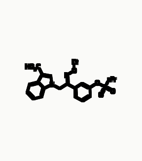 CCCS(=O)(=O)Oc1cccc(C(Cn2cc(C(=O)O)c3ccccc32)=NOCC)c1